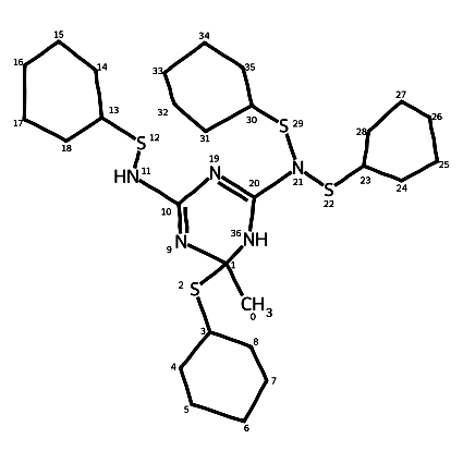 CC1(SC2CCCCC2)N=C(NSC2CCCCC2)N=C(N(SC2CCCCC2)SC2CCCCC2)N1